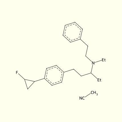 CC#N.CCC(CCc1ccc(C2CC2F)cc1)N(CC)CCc1ccccc1